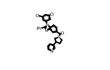 CC(C)c1nc2cc(C(=O)N3CCC(c4cccnc4)C3)ccc2n1-c1cc(Cl)cc(Cl)c1